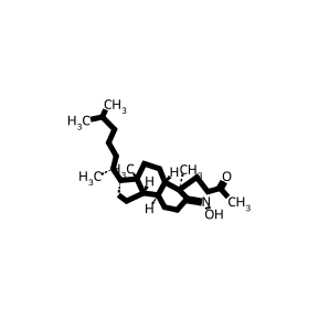 CC(=O)CC[C@@]1(C)/C(=N/O)CC[C@H]2[C@@H]3CC[C@H]([C@H](C)CCCC(C)C)[C@@]3(C)CC[C@@H]21